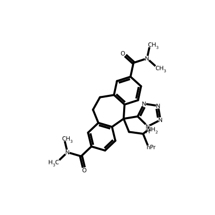 CCCC(N)CC1(c2nnn[nH]2)c2ccc(C(=O)N(C)C)cc2CCc2cc(C(=O)N(C)C)ccc21